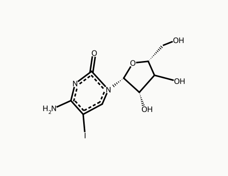 Nc1nc(=O)n([C@@H]2O[C@H](CO)C(O)[C@@H]2O)cc1I